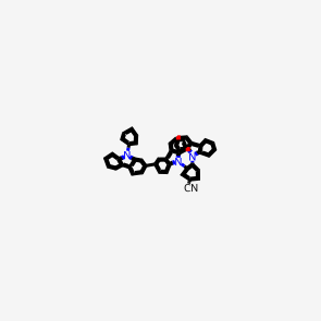 N#Cc1ccc(-n2c3ccccc3c3ccccc32)c(-n2c3ccccc3c3cc(-c4ccc5c6ccccc6n(-c6ccccc6)c5c4)ccc32)c1